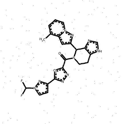 Cc1cccn2nc(C3c4nc[nH]c4CCN3C(=O)c3nnc(-c4ccn(C(F)F)n4)o3)cc12